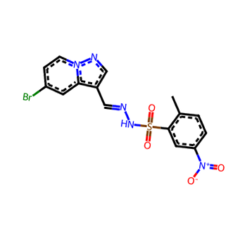 Cc1ccc([N+](=O)[O-])cc1S(=O)(=O)NN=Cc1cnn2ccc(Br)cc12